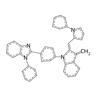 C=c1/c(=C\c2cccn2-c2ccccc2)n(-c2ccc(-c3nc4ccccc4n3-c3ccccc3)cc2)c2ccccc12